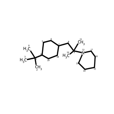 CC(C)(C)C1CCC(CC(C)(C)N2CCCCC2)CC1